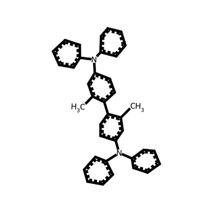 Cc1cc(N(c2ccccc2)c2ccccc2)ccc1-c1ccc(N(c2ccccc2)c2ccccc2)cc1C